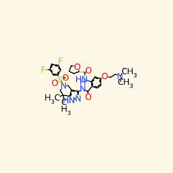 CN(C)CCOc1ccc(C(=O)Nc2n[nH]c3c2CN(S(=O)(=O)c2cc(F)cc(F)c2)CC3(C)C)c(NC(=O)[C@@H]2CCCO2)c1